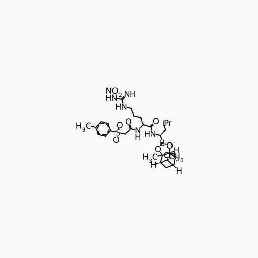 Cc1ccc(S(=O)(=O)CC(=O)N[C@@H](CCCNC(=N)N[N+](=O)[O-])C(=O)N[C@@H](CC(C)C)B2O[C@@H]3C[C@@H]4C[C@@H](C4(C)C)[C@]3(C)O2)cc1